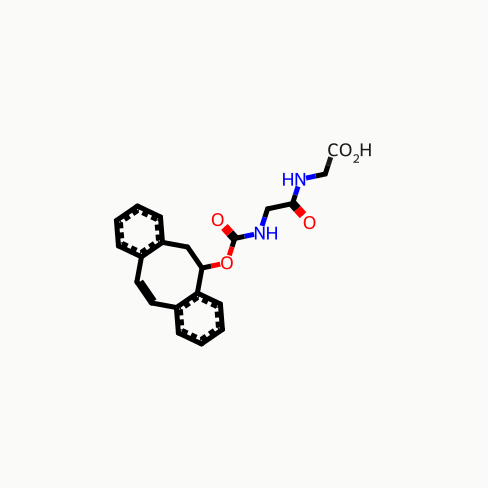 O=C(O)CNC(=O)CNC(=O)OC1Cc2ccccc2/C=C\c2ccccc21